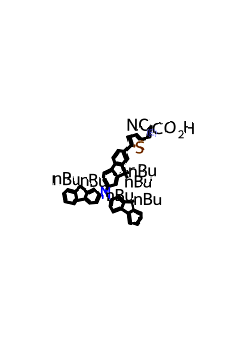 CCCCC1(CCCC)c2ccccc2-c2ccc(N(c3ccc4c(c3)C(CCCC)(CCCC)c3ccccc3-4)c3ccc4c(c3)C(CCCC)(CCCC)c3cc(-c5ccc(/C=C(\C#N)C(=O)O)s5)ccc3-4)cc21